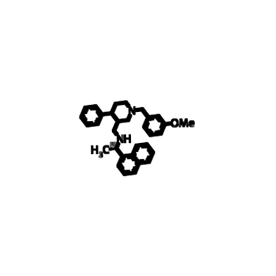 COc1cccc(CN2CCC(c3ccccc3)C(CN[C@H](C)c3cccc4ccccc34)C2)c1